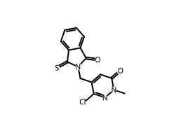 Cn1nc(Cl)c(CN2C(=O)c3ccccc3C2=S)cc1=O